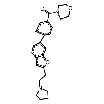 O=C(c1ccc(-c2ccc3cc(CCN4CCCC4)oc3c2)cc1)N1CCOCC1